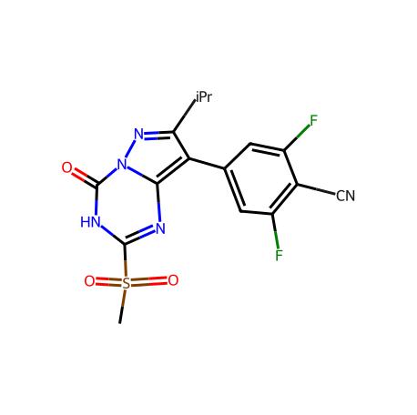 CC(C)c1nn2c(=O)[nH]c(S(C)(=O)=O)nc2c1-c1cc(F)c(C#N)c(F)c1